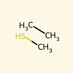 CC.CS